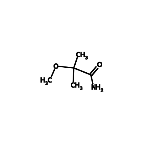 COC(C)(C)C(N)=O